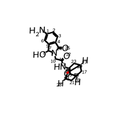 Nc1ccc2c(c1)C(O)N(CC(=O)N[C@@]13C[C@@H]4C[C@@H](C[C@H](C4)O1)C3)C2=O